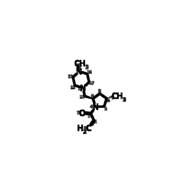 C=CC(=O)N1C[C@@H](C)C[C@@H]1CN1CCN(C)CC1